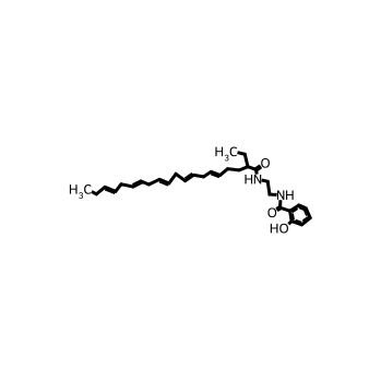 CCC=CCC=CCC=CCC=CCC=CCCC(CC)C(=O)NCCNC(=O)c1ccccc1O